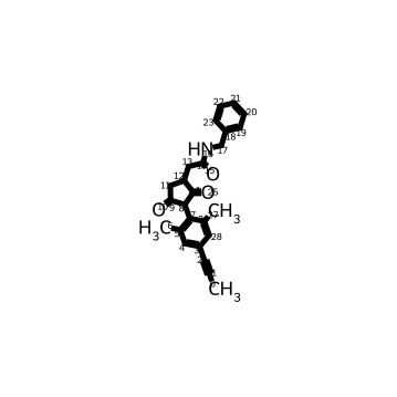 CC#Cc1cc(C)c(C2C(=O)CC(CC(=O)NCc3ccccc3)C2=O)c(C)c1